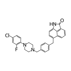 O=C1Nc2ccc(Cc3ccc(CN4CCN(c5ccc(Cl)cc5F)CC4)cc3)c3cccc1c23